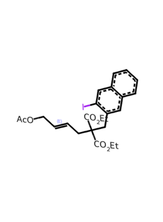 CCOC(=O)C(C/C=C/COC(C)=O)(Cc1cc2ccccc2cc1I)C(=O)OCC